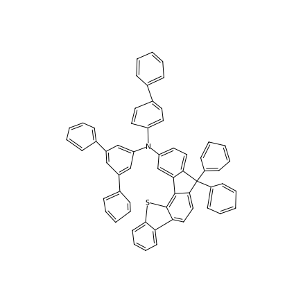 c1ccc(-c2ccc(N(c3cc(-c4ccccc4)cc(-c4ccccc4)c3)c3ccc4c(c3)-c3c(ccc5c3sc3ccccc35)C4(c3ccccc3)c3ccccc3)cc2)cc1